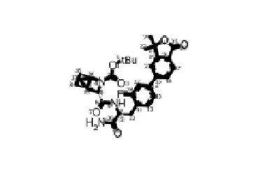 CC(C)(C)OC(=O)N1[C@H](C(=O)N[C@@H](Cc2ccc(-c3ccc4c(c3)C(C)(C)OC4=O)cc2F)C(N)=O)[C@@]23CC[C@@]12C3